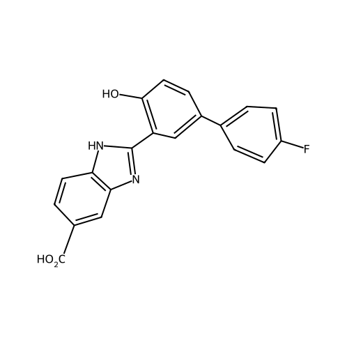 O=C(O)c1ccc2[nH]c(-c3cc(-c4ccc(F)cc4)ccc3O)nc2c1